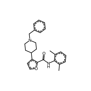 Cc1cccc(C)c1NC(=O)c1occc1C1CCN(Cc2ccccc2)CC1